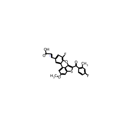 COc1cc2c3c(c(C(=O)c4ccc(F)cc4C)sc3c1)Oc1c(F)cc(/C=C/C(=O)O)cc1-2